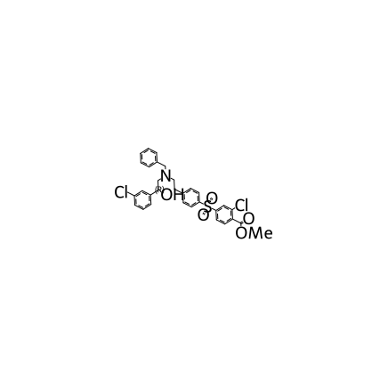 COC(=O)c1ccc(S(=O)(=O)c2ccc(CCN(Cc3ccccc3)C[C@H](O)c3cccc(Cl)c3)cc2)cc1Cl